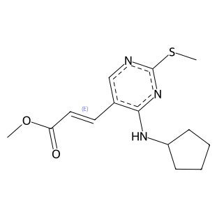 COC(=O)/C=C/c1cnc(SC)nc1NC1CCCC1